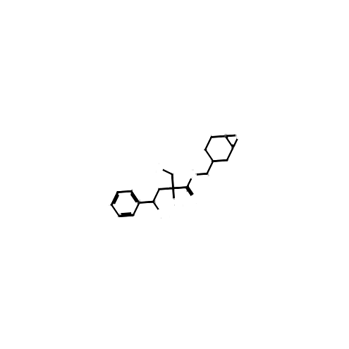 CCC(C)(CC(C)c1ccccc1)C(=O)OCC1CCC2OC2C1